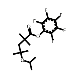 CC(C)OC(C)(C)CC(C)(C)C(=O)Oc1c(F)c(F)c(F)c(F)c1F